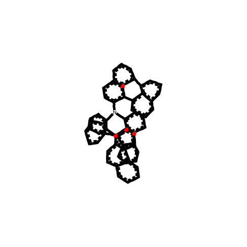 c1ccc(-c2cccc3cccc(-c4ccccc4N(c4ccccc4-c4cccc5c4ccc4ccccc45)c4cccc5c6ccccc6n(-c6ccccc6)c45)c23)cc1